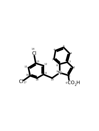 O=C(O)c1cc2ccccc2n1Cc1cc(Cl)cc(Cl)c1